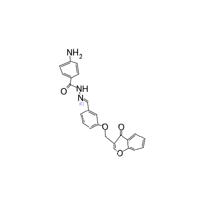 Nc1ccc(C(=O)N/N=C/c2cccc(OCc3coc4ccccc4c3=O)c2)cc1